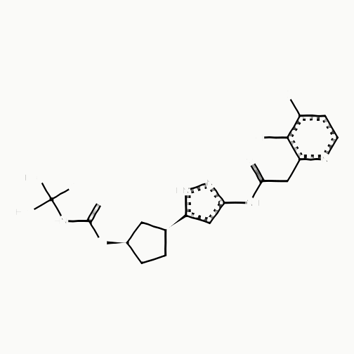 Cc1ccnc(CC(=O)Nc2cc([C@H]3CC[C@@H](OC(=O)NC(C)(C)C)C3)[nH]n2)c1Cl